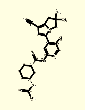 CC1(C)Cc2c(C#N)cc(-c3cc(NC(=O)[C@H]4CCC[C@@H](OC(N)=O)C4)ncc3Cl)n2C1